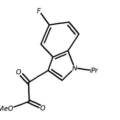 COC(=O)C(=O)c1cn(C(C)C)c2ccc(F)cc12